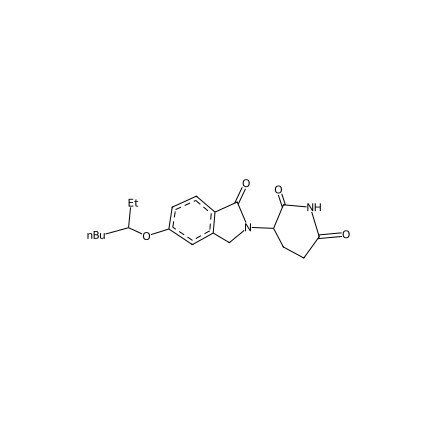 CCCCC(CC)Oc1ccc2c(c1)CN(C1CCC(=O)NC1=O)C2=O